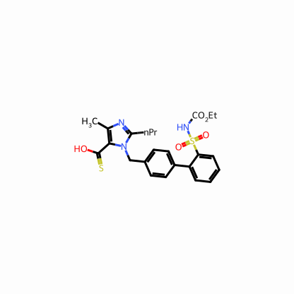 CCCc1nc(C)c(C(O)=S)n1Cc1ccc(-c2ccccc2S(=O)(=O)NC(=O)OCC)cc1